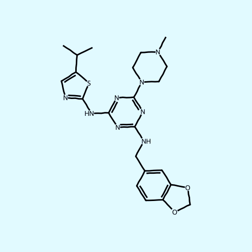 CC(C)c1cnc(Nc2nc(NCc3ccc4c(c3)OCO4)nc(N3CCN(C)CC3)n2)s1